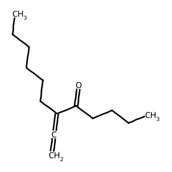 C=C=C(CCCCCC)C(=O)CCCC